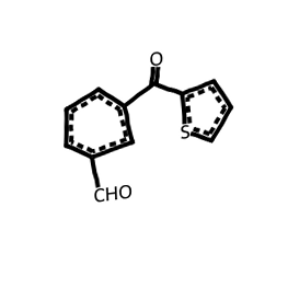 O=Cc1cccc(C(=O)c2cccs2)c1